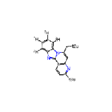 [2H]c1c([2H])c([2H])c2c(nc3c4ccc(C(C)(C)C)nc4cc(CC(C)(C)C)n32)c1[2H]